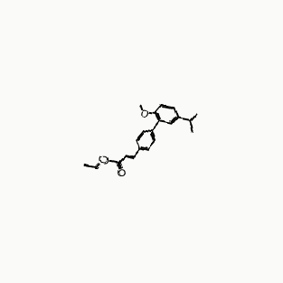 CCOC(=O)C=Cc1ccc(-c2cc(C(C)C)ccc2OC)cc1